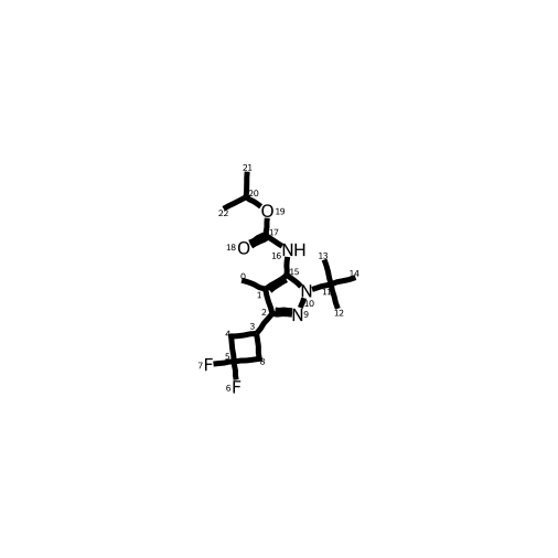 Cc1c(C2CC(F)(F)C2)nn(C(C)(C)C)c1NC(=O)OC(C)C